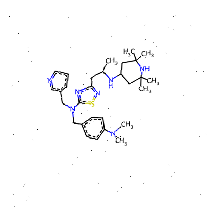 CC(Cc1nsc(N(Cc2ccc(N(C)C)cc2)Cc2cccnc2)n1)NC1CC(C)(C)NC(C)(C)C1